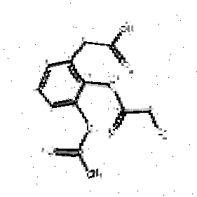 CC(=O)Oc1cccc(CC(=O)O)c1OC(=O)CBr